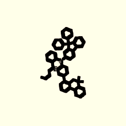 C/C=C\C=C(/CC)c1ccccc1N(c1ccc(-c2cccc3c2CC(C)(C)c2ccccc2-3)cc1)c1ccc2c(c1)C(c1ccccc1)(c1ccccc1)c1ccccc1-2